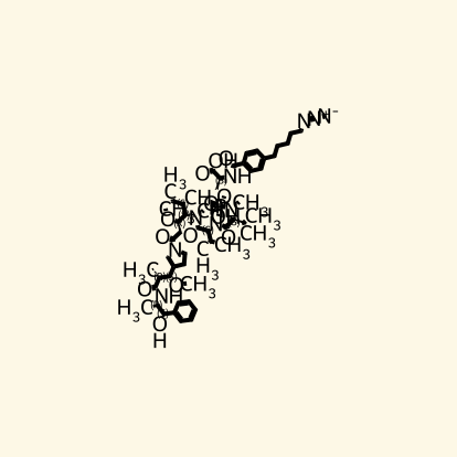 CC[C@H](C)[C@@H]([C@@H](CC(=O)N1CCC([C@H](OC)[C@@H](C)C(=O)N[C@H](C)[C@@H](O)c2ccccc2)C1)OC)N(C)C(=O)[C@@H](NC(=O)[C@H](C(C)C)N(C)P(=O)(O)OC[C@H](NC(=O)c1ccc(CCCCCN=[N+]=[N-])cc1)C(=O)O)C(C)C